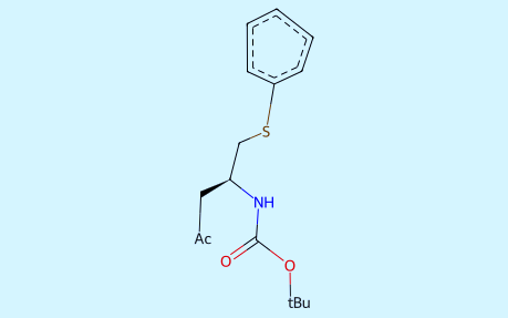 CC(=O)C[C@@H](CSc1ccccc1)NC(=O)OC(C)(C)C